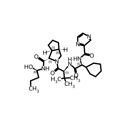 CCC[C@@H](O)NC(=O)[C@@H]1[C@H]2CCC[C@H]2CN1C(=O)[C@@H](NC(=O)[C@@H](NC(=O)c1cnccn1)C1CCCCC1)C(C)(C)C